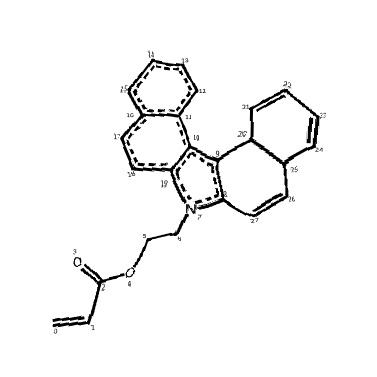 C=CC(=O)OCCn1c2c(c3c4ccccc4ccc31)C1C=CC=CC1C=C2